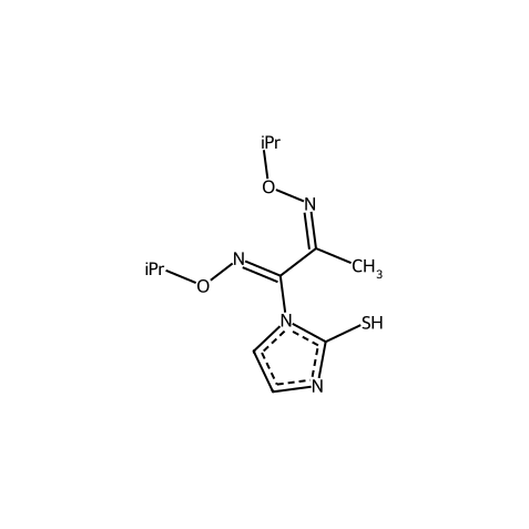 CC(=N/OC(C)C)/C(=N/OC(C)C)n1ccnc1S